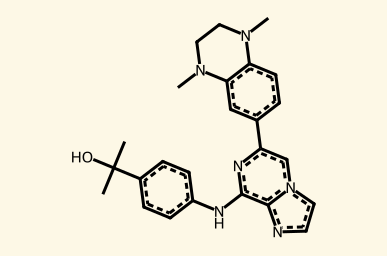 CN1CCN(C)c2cc(-c3cn4ccnc4c(Nc4ccc(C(C)(C)O)cc4)n3)ccc21